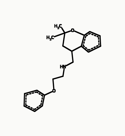 CC1(C)CC(CNCCOc2ccccc2)c2ccccc2O1